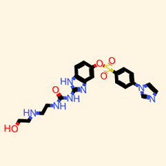 O=C(NCCNCCO)Nc1nc2cc(OS(=O)(=O)c3ccc(-n4ccnc4)cc3)ccc2[nH]1